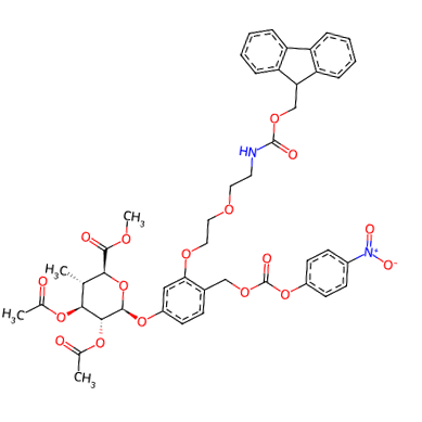 COC(=O)[C@H]1O[C@@H](Oc2ccc(COC(=O)Oc3ccc([N+](=O)[O-])cc3)c(OCCOCCNC(=O)OCC3c4ccccc4-c4ccccc43)c2)[C@H](OC(C)=O)[C@@H](OC(C)=O)[C@@H]1C